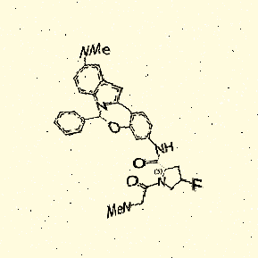 CNCC(=O)N1CC(F)C[C@H]1C(=O)Nc1ccc2c(c1)OC(c1ccccc1)n1c-2cc2cc(NC)ccc21